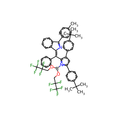 Cc1ccc(C2=N/C(=C(/c3ccccc3)c3c(-c4ccc(C(C)(C)C)cc4)cc(-c4ccc(C(C)(C)C)cc4)n3B(OCC(F)(F)C(F)(F)F)OCC(F)(F)C(F)(F)F)c3ccccc32)cc1